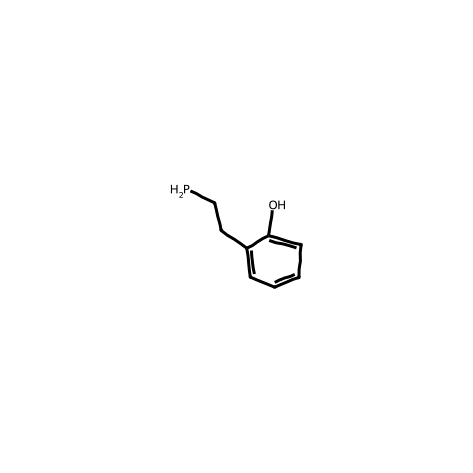 Oc1ccccc1CCP